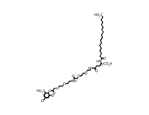 O=C(O)CCCCCCCCCCCCCCCCC(=O)N[C@@H](CCC(=O)NCCOCCOCC(=O)NCCOCCOCC(=O)Oc1c(Cl)cc(Cl)cc1S(=O)(=O)O)C(=O)O